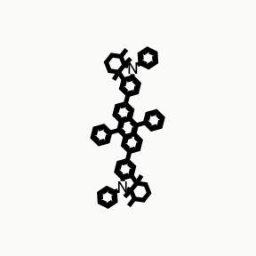 CC1CCCC2(C)c3cc(-c4ccc5c(-c6ccccc6)c6cc(-c7ccc8c(c7)C7(C)CCCC(C)C7(C)N8c7ccccc7)ccc6c(-c6ccccc6)c5c4)ccc3N(c3ccccc3)C12C